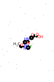 Cc1ccc(-c2nc3ccc(F)cc3n2-c2cccc3c2OC[C@H]3Nc2ccc3c(c2)OC[C@H]3CC(=O)O)o1